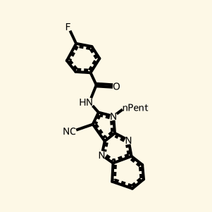 CCCCCn1c(NC(=O)c2ccc(F)cc2)c(C#N)c2nc3ccccc3nc21